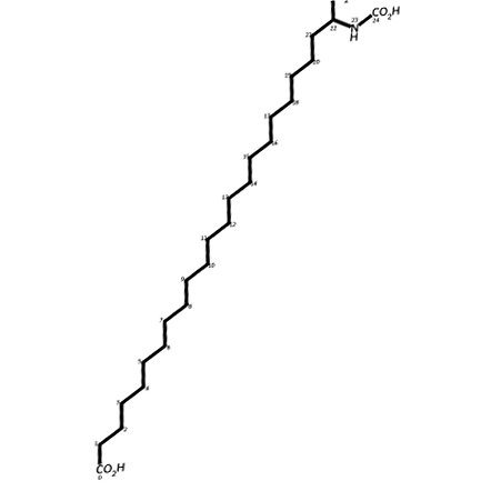 O=C(O)CCCCCCCCCCCCCCCCCCCCCC(NC(=O)O)C(=O)O